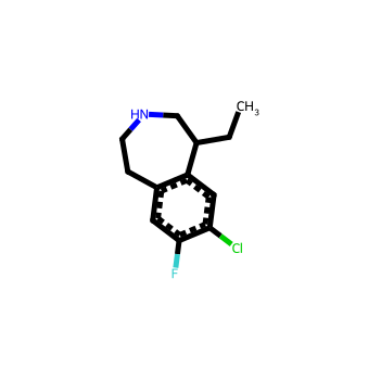 CCC1CNCCc2cc(F)c(Cl)cc21